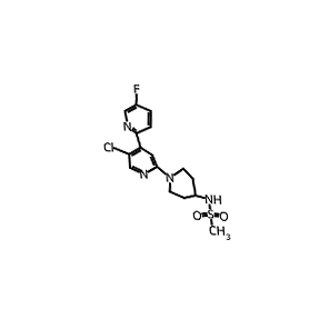 CS(=O)(=O)NC1CCN(c2cc(-c3ccc(F)cn3)c(Cl)cn2)CC1